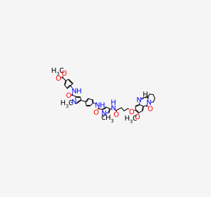 COC(=O)c1ccc(NC(=O)c2cc(-c3ccc(NC(=O)c4cc(NC(=O)CCCOc5cc6c(cc5OC)C(=O)N5CCCC[C@H]5C=N6)cn4C)cc3)cn2C)cc1